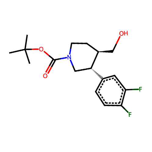 CC(C)(C)OC(=O)N1CC[C@@H](CO)[C@H](c2ccc(F)c(F)c2)C1